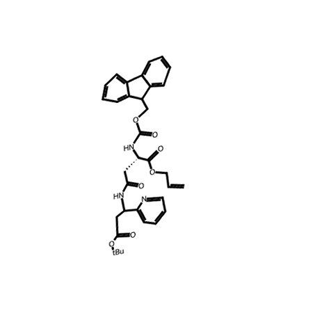 C=CCOC(=O)[C@H](CC(=O)NC(CC(=O)OC(C)(C)C)c1ccccn1)NC(=O)OCC1c2ccccc2-c2ccccc21